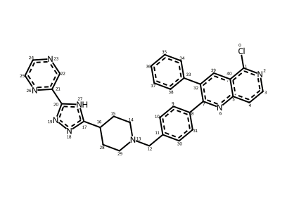 Clc1nccc2nc(-c3ccc(CN4CCC(c5nnc(-c6cnccn6)[nH]5)CC4)cc3)c(-c3ccccc3)cc12